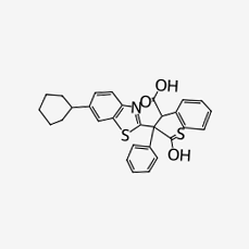 O=C(O)C(c1ccccc1)C(C(O)=S)(c1ccccc1)c1nc2ccc(C3CCCCC3)cc2s1